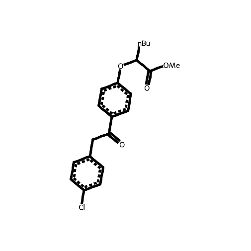 CCCCC(Oc1ccc(C(=O)Cc2ccc(Cl)cc2)cc1)C(=O)OC